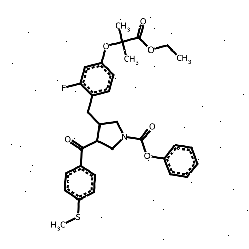 CCOC(=O)C(C)(C)Oc1ccc(CC2CN(C(=O)Oc3ccccc3)CC2C(=O)c2ccc(SC)cc2)c(F)c1